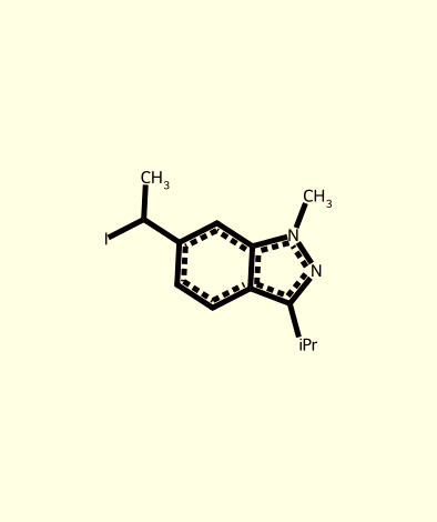 CC(C)c1nn(C)c2cc(C(C)I)ccc12